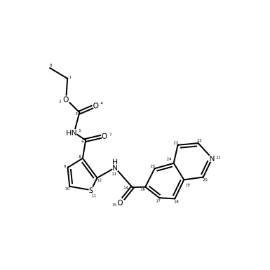 CCOC(=O)NC(=O)c1ccsc1NC(=O)c1ccc2cnccc2c1